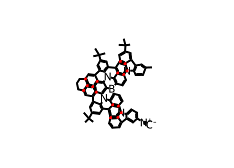 [C-]#[N+]c1ccc2c(c1)c1ccccc1n2-c1ccc2c(c1)N(c1c(-c3ccccc3)cc(C(C)(C)C)cc1-c1ccccc1)c1cc(C3CCCCC3)cc3c1B2c1ccc(-n2c4ccc(C)cc4c4cc(C(C)(C)C)ccc42)cc1N3c1c(-c2ccccc2)cc(C(C)(C)C)cc1-c1ccccc1